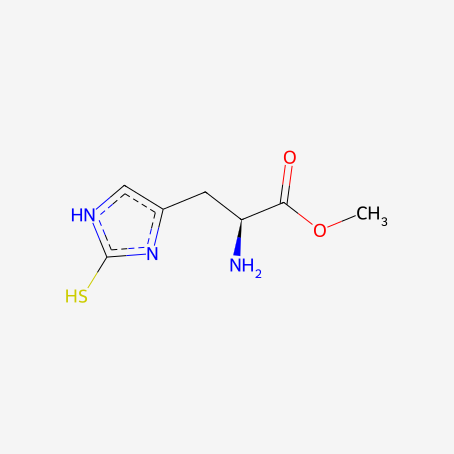 COC(=O)[C@@H](N)Cc1c[nH]c(S)n1